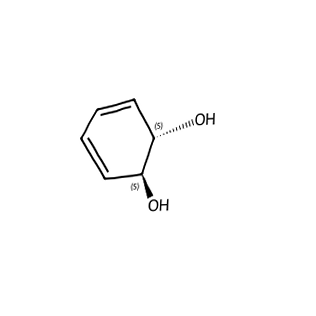 O[C@H]1C=CC=C[C@@H]1O